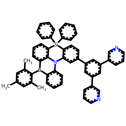 Cc1cc(C)c(B2c3ccccc3N3c4cc(-c5cc(-c6cccnc6)cc(-c6cccnc6)c5)ccc4[Si](c4ccccc4)(c4ccccc4)c4cccc2c43)c(C)c1